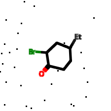 CCC1CCC(=O)C(Br)C1